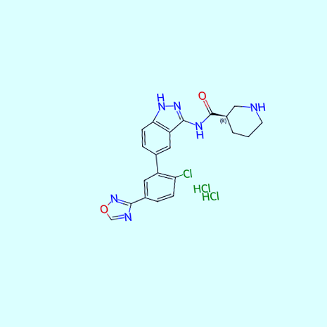 Cl.Cl.O=C(Nc1n[nH]c2ccc(-c3cc(-c4ncon4)ccc3Cl)cc12)[C@@H]1CCCNC1